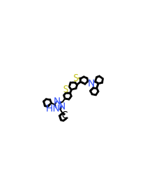 c1ccc(C2=NC(c3ccc4c(c3)sc3cc5sc6ccc(-n7c8ccccc8c8ccccc87)cc6c5cc34)=NC(c3ccccc3)N2)cc1